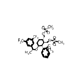 Cc1ccccc1[C@H]1[C@H](COS(C)(=O)=O)[C@@H](COS(C)(=O)=O)CC[C@@H]1O[C@H](C)c1cc(C(F)(F)F)cc(C(F)(F)F)c1